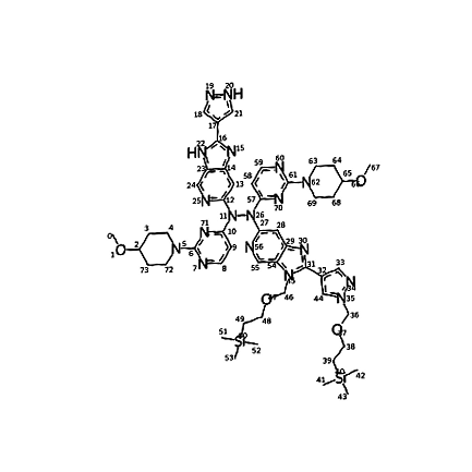 COC1CCN(c2nccc(N(c3cc4nc(-c5cn[nH]c5)[nH]c4cn3)N(c3cc4nc(-c5cnn(COCC[Si](C)(C)C)c5)n(COCC[Si](C)(C)C)c4cn3)c3ccnc(N4CCC(OC)CC4)n3)n2)CC1